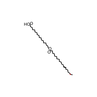 CCCCCCC=CCCCCCCCCCCCC(=O)OCCCCCCCCCCCCCCCCCC(=O)O